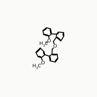 COc1ccccc1-c1ccccc1COCc1ccccc1-c1ccccc1OC